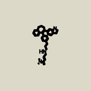 C=C(/C=C/CNCCCc1ccc(C2=C(c3ccc4c(c3)N=CC4)CCCc3ccccc32)cc1)N(C)C